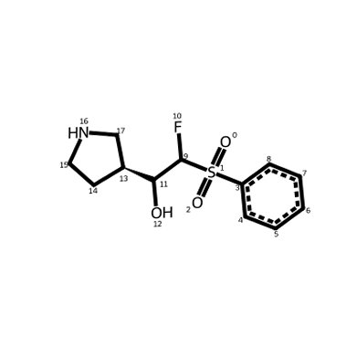 O=S(=O)(c1ccccc1)C(F)C(O)[C@H]1CCNC1